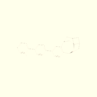 Brc1ccccc1-c1ccc(-c2ccc3c(c2)C2CC4CC5CC3CC54C2)nc1